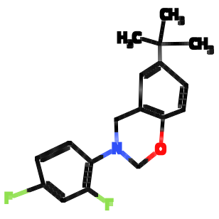 CC(C)(C)c1ccc2c(c1)CN(c1ccc(F)cc1F)CO2